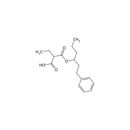 CCCC(CCc1ccccc1)OC(=O)C(CC)C(=O)O